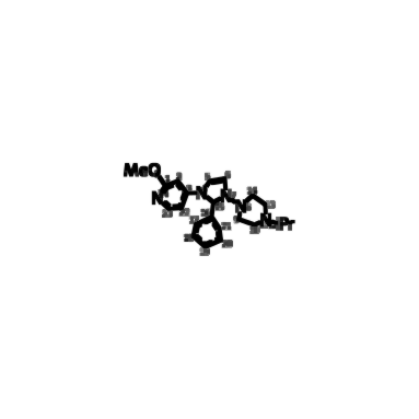 COc1cc(N2C=CN(N3CCN(C(C)C)CC3)C2c2ccccc2)ccn1